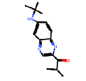 CC(C)C(=O)c1cnc2cc(NC(C)(C)C)ccc2n1